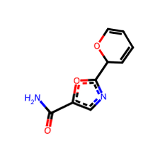 NC(=O)c1cnc(C2C=CC=CO2)o1